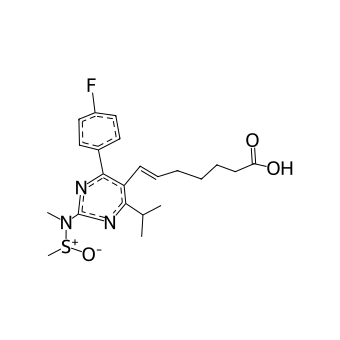 CC(C)c1nc(N(C)[S+](C)[O-])nc(-c2ccc(F)cc2)c1/C=C/CCCCC(=O)O